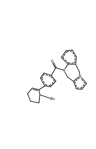 CC(C)(C)C1CCCC=C1c1ccc(C(=O)N2Cc3cccn3Cc3ccccc32)cc1